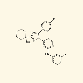 Cc1cccc(Nc2nccc(-c3nc(C4(N)CCCCC4)[nH]c3-c3ccc(F)cc3)n2)c1